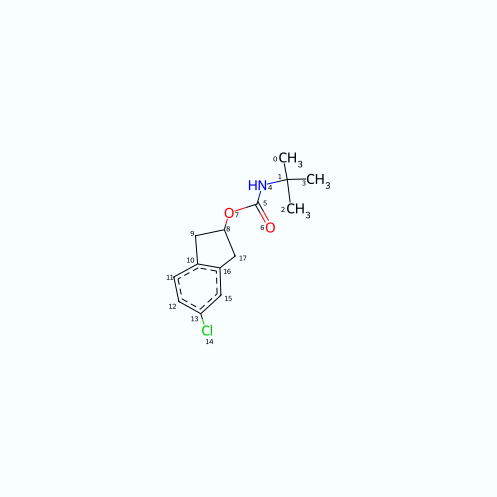 CC(C)(C)NC(=O)OC1Cc2ccc(Cl)cc2C1